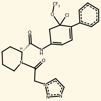 O=C(NC1=CC=C(c2ccccc2)C(Cl)(OC(F)(F)F)C1)[C@H]1CCCCN1C(=O)Cn1ccnn1